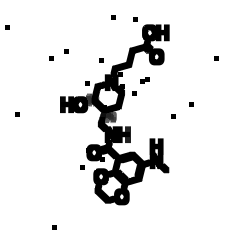 CNc1cc2c(c(C(=O)NC[C@@H]3CCN(CCCC(=O)O)C[C@H]3O)c1)OCCO2